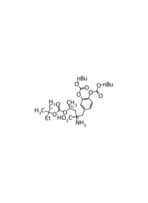 CCCCOC(=O)Oc1ccc(C[C@](N)(C[C@H](C)OC(=O)OC(C)(C)CC)C(=O)O)cc1OC(=O)OCCCC